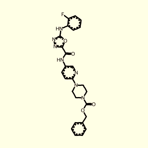 O=C(Nc1ccc(N2CCN(C(=O)OCc3ccccc3)CC2)nc1)c1nnc(Nc2ccccc2F)o1